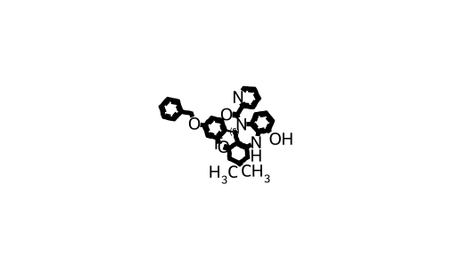 CC1(C)CC(=O)C2=C(C1)Nc1c(O)cccc1N(C(=O)c1ccccn1)[C@@H]2c1ccc(OCc2ccccc2)cc1F